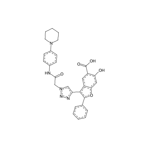 O=C(Cn1cc(-c2c(-c3ccccc3)oc3cc(O)c(C(=O)O)cc23)nn1)Nc1ccc(N2CCCCC2)cc1